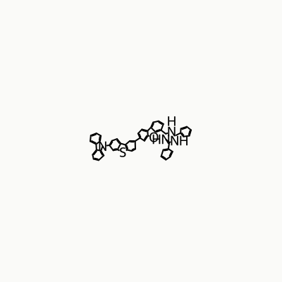 c1ccc(C2NC(c3ccccc3)NC(c3cccc4c3oc3cc(-c5ccc6sc7cc(-n8c9ccccc9c9ccccc98)ccc7c6c5)ccc34)N2)cc1